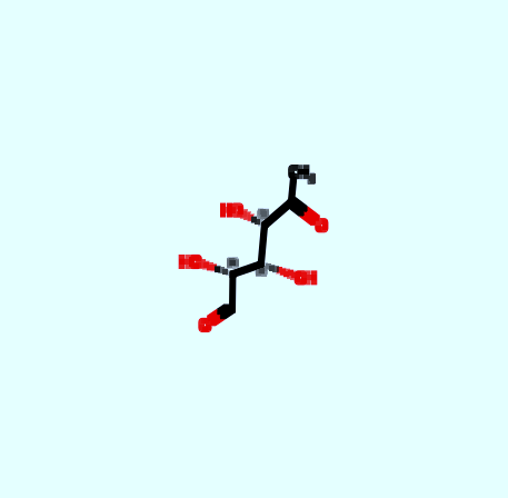 CC(=O)[C@@H](O)[C@H](O)[C@@H](O)C=O